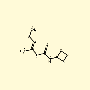 CCC=C(C)OC(=O)NC1CCC1